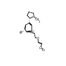 CCOCCOCC[n+]1cccc([C@@H]2CCCN2C)c1.[Br-]